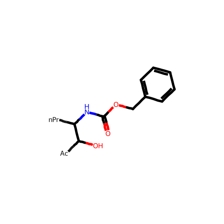 CCCC(NC(=O)OCc1ccccc1)C(O)C(C)=O